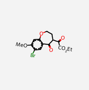 CCOC(=O)C(=O)C1CCOc2cc(OC)c(Br)cc2C1=O